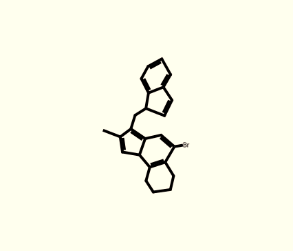 CC1=CC2C(=C1CC1C=Cc3ccccc31)C=C(Br)C1=C2CCCC1